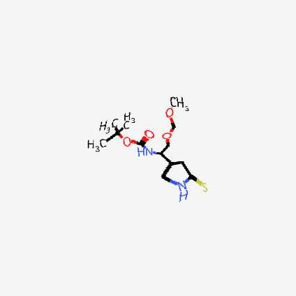 COCOCC(NC(=O)OC(C)(C)C)C1CNC(=S)C1